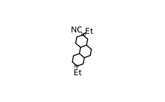 CC[C@@H]1CCC2C(CCC3C[C@](C#N)(CC)CCC32)C1